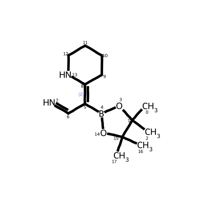 CC1(C)OB(/C(C=N)=C2\CCCCN2)OC1(C)C